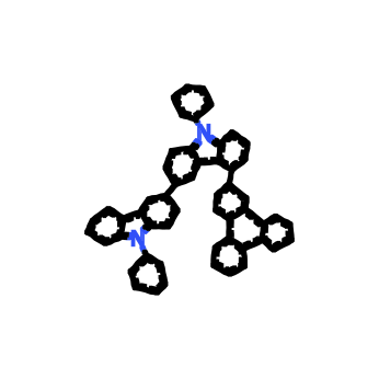 c1ccc(-n2c3ccccc3c3cc(-c4ccc5c(c4)c4c(-c6ccc7c8ccccc8c8ccccc8c7c6)cccc4n5-c4ccccc4)ccc32)cc1